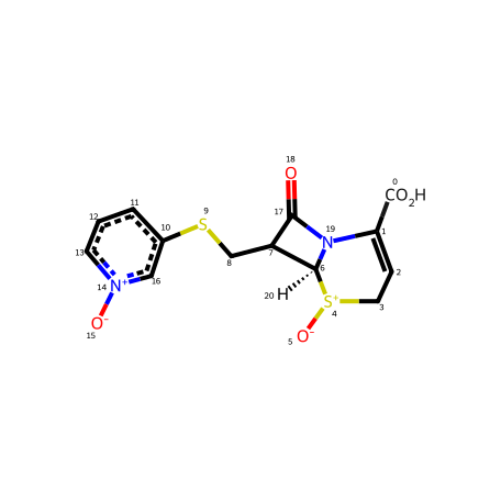 O=C(O)C1=CC[S+]([O-])[C@H]2C(CSc3ccc[n+]([O-])c3)C(=O)N12